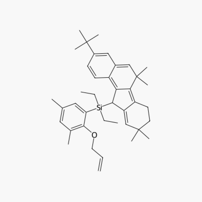 C=CCOc1c(C)cc(C)cc1[Si](CC)(CC)C1C2=CC(C)(C)CCC2=C2C1=c1ccc(C(C)(C)C)cc1=CC2(C)C